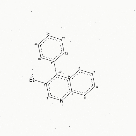 CCc1cnc2ccccc2c1-c1ccccc1